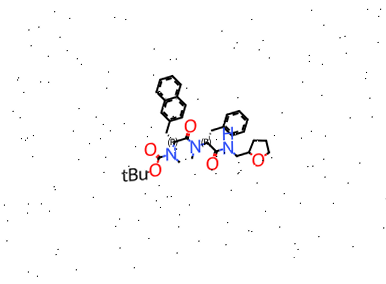 CN(C(=O)OC(C)(C)C)[C@H](Cc1ccc2ccccc2c1)C(=O)N(C)[C@H](Cc1ccccc1)C(=O)NCC1CCCO1